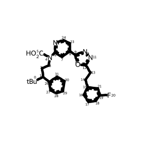 CC(C)(C)C(CCN(C(=O)O)c1cc(-c2nnc(CCc3cccc(F)c3)o2)ccn1)c1ccccc1